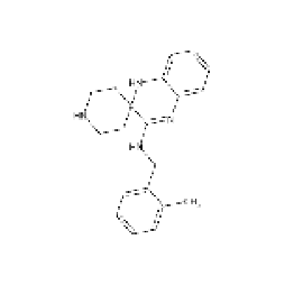 Cc1ccccc1CNC1=Nc2ccccc2NC12CCNCC2